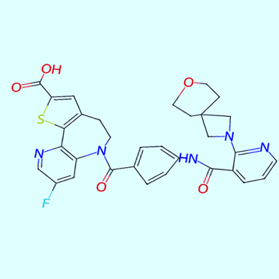 O=C(O)c1cc2c(s1)-c1ncc(F)cc1N(C(=O)c1ccc(NC(=O)c3cccnc3N3CC4(CCOCC4)C3)cc1)CC2